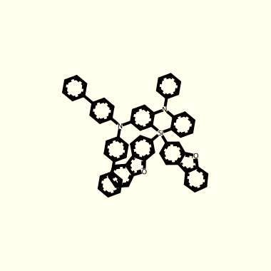 c1ccc(-c2ccc(N(c3ccc(-c4ccccc4)cc3)c3ccc4c(c3)[Si](c3ccc5c(c3)oc3ccccc35)(c3ccc5c(c3)oc3ccccc35)c3ccccc3N4c3ccccc3)cc2)cc1